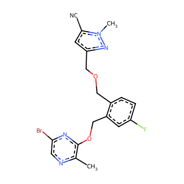 Cc1ncc(Br)nc1OCc1cc(F)ccc1COCc1cc(C#N)n(C)n1